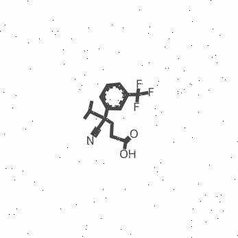 CC(C)C(C#N)(CCC(=O)O)c1cccc(C(F)(F)F)c1